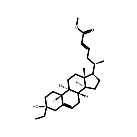 CC[C@]1(O)CC[C@H]2C(=CC[C@@H]3[C@@H]2CC[C@]2(C)[C@@H]([C@H](C)C/C=C/C(=O)OC)CC[C@@H]32)C1